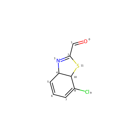 O=CC1=NC2C=CC=C(Cl)C2S1